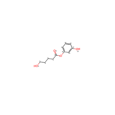 O=C(CCCCO)Oc1cccc(O)c1